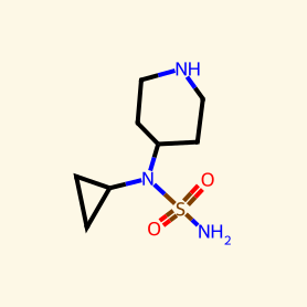 NS(=O)(=O)N(C1CCNCC1)C1CC1